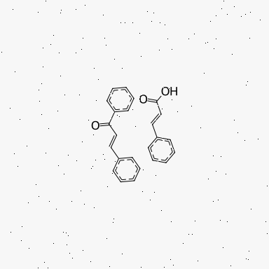 O=C(C=Cc1ccccc1)c1ccccc1.O=C(O)C=Cc1ccccc1